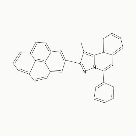 Cc1c(-c2cc3ccc4cccc5ccc(c2)c3c45)nn2c(-c3ccccc3)cc3ccccc3c12